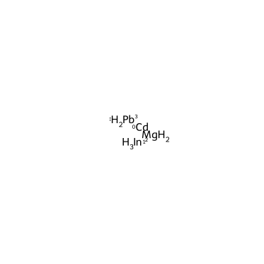 [Cd].[InH3].[MgH2].[PbH2]